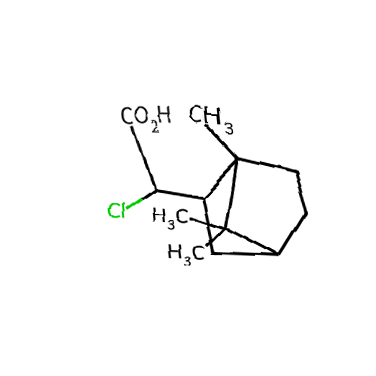 CC1(C)C2CCC1(C)C(C(Cl)C(=O)O)C2